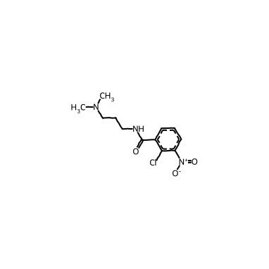 CN(C)CCCNC(=O)c1cccc([N+](=O)[O-])c1Cl